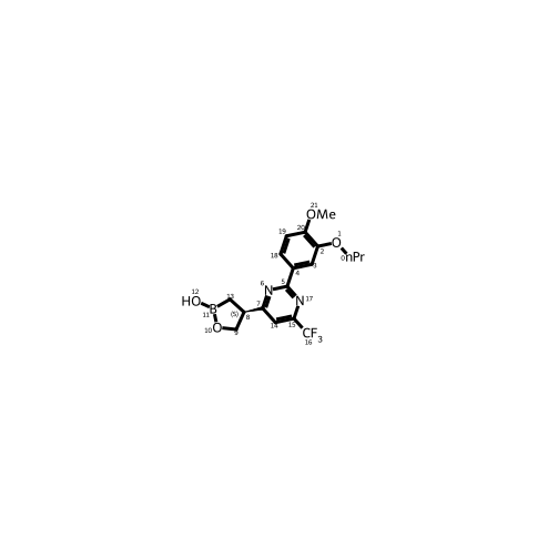 CCCOc1cc(-c2nc([C@H]3COB(O)C3)cc(C(F)(F)F)n2)ccc1OC